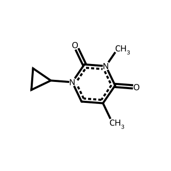 Cc1cn(C2CC2)c(=O)n(C)c1=O